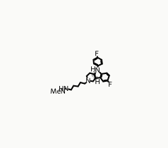 CNNCCCCCN1CC[C@@H]2[C@@H](C1)c1cc(F)ccc1N2c1ccc(F)cc1